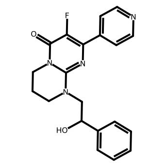 O=c1c(F)c(-c2ccncc2)nc2n1CCCN2CC(O)c1ccccc1